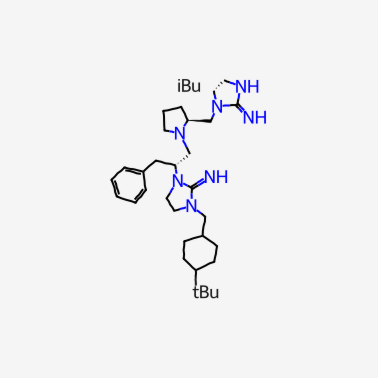 CC[C@H](C)[C@@H]1CNC(=N)N1C[C@@H]1CCCN1C[C@@H](Cc1ccccc1)N1CCN(CC2CCC(C(C)(C)C)CC2)C1=N